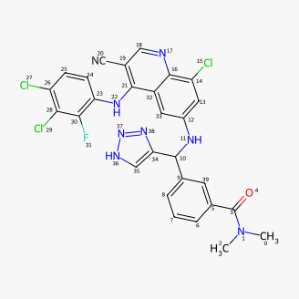 CN(C)C(=O)c1cccc(C(Nc2cc(Cl)c3ncc(C#N)c(Nc4ccc(Cl)c(Cl)c4F)c3c2)c2c[nH]nn2)c1